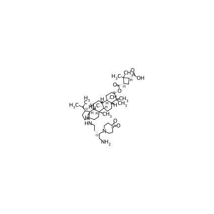 CC(C)[C@@H]1CC[C@]2(NCC[C@@H](CN)N3CCS(=O)(=O)CC3)CC[C@]3(C)[C@H](CC[C@@H]4[C@@]5(C)CC[C@H](OC(=O)[C@H]6C[C@@H](C(=O)O)C6(C)C)C(C)(C)[C@@H]5CC[C@]43C)[C@@H]12